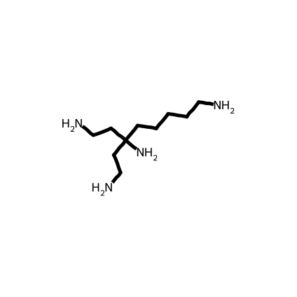 NCCCCCC(N)(CCN)CCN